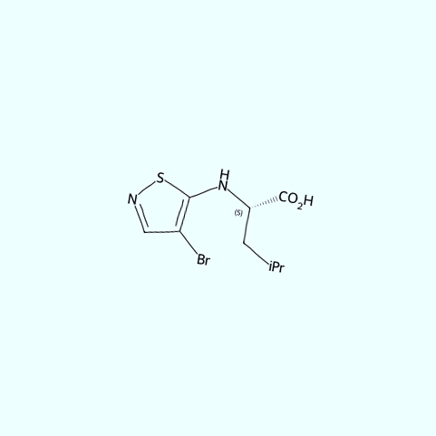 CC(C)C[C@H](Nc1sncc1Br)C(=O)O